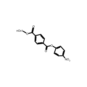 CCCCCCCCOC(=O)c1ccc(C(=O)Oc2ccc([N+](=O)[O-])cc2)cc1